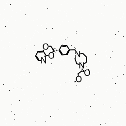 COCC(=O)N1CCCN(Cc2ccc([C@H]3COc4cccnc4O3)cc2)CC1